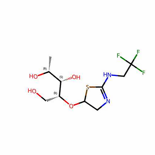 C[C@@H](O)[C@H](O)[C@@H](CO)OC1CN=C(NCC(F)(F)F)S1